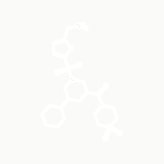 NCc1ccc(S(=O)(=O)N2CC(C3CCCCC3)C[C@@H](C(=O)N3CCS(=O)(=O)CC3)C2)s1